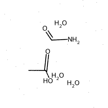 CC(=O)O.NC=O.O.O.O